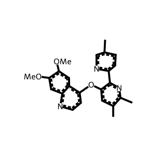 COc1cc2nccc(Oc3cc(C)c(C)nc3-c3ccc(C)cn3)c2cc1OC